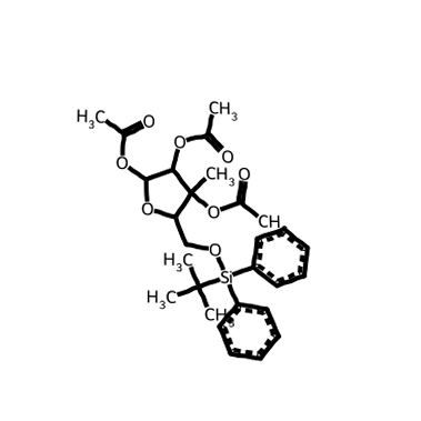 CC(=O)OC1OC(CO[Si](c2ccccc2)(c2ccccc2)C(C)(C)C)C(C)(OC(C)=O)C1OC(C)=O